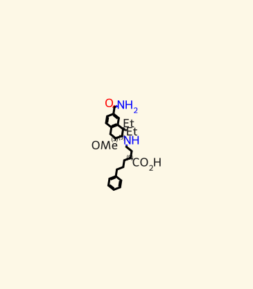 CCC1(CC)c2cc(C(N)=O)ccc2C[C@H](OC)[C@H]1NCC[C@H](CCCc1ccccc1)C(=O)O